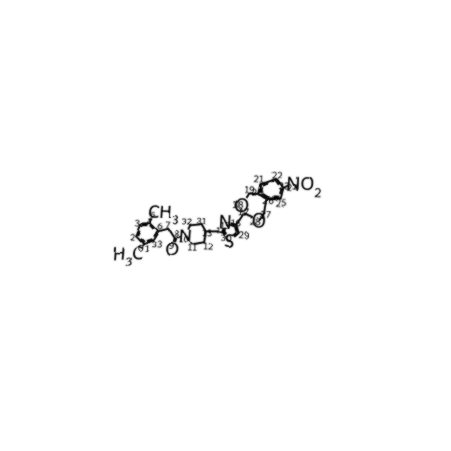 Cc1ccc(C)c(CC(=O)N2CCC(c3nc(C4OCc5ccc([N+](=O)[O-])cc5CO4)cs3)CC2)c1